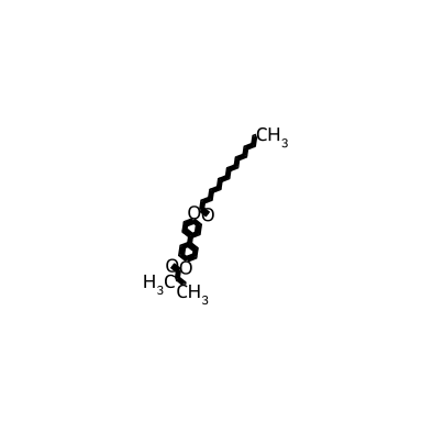 CCCCCCCCCCCCCCC(=O)Oc1ccc(-c2ccc(OC(=O)C(C)CC)cc2)cc1